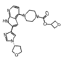 O=C(OC1COC1)N1CCN(c2ccnc3[nH]c(-c4cn([C@@H]5CCOC5)cn4)cc23)CC1